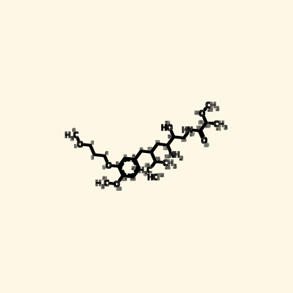 COCCCOc1cc(CC(CC(N)C(O)CNC(=O)[C@H](C)OC)C(C)C)ccc1OC.Cl